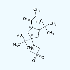 CCC(=O)[C@@H]1C[C@@](C2CS(=O)(=O)C2)(C(C)(C)C)CN1C(C)(C)C